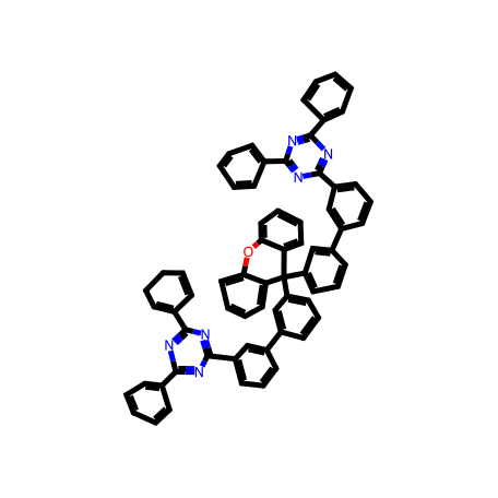 C1=CC(c2nc(-c3ccccc3)nc(-c3cccc(-c4cccc(C5(c6cccc(-c7cccc(-c8nc(-c9ccccc9)nc(-c9ccccc9)n8)c7)c6)c6ccccc6Oc6ccccc65)c4)c3)n2)=CCC1